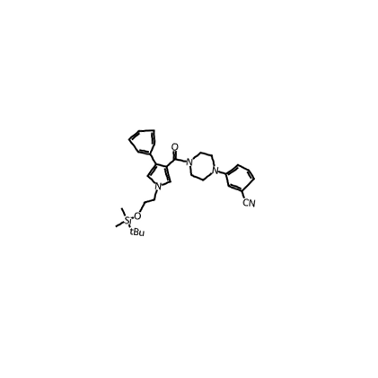 CC(C)(C)[Si](C)(C)OCCn1cc(C(=O)N2CCN(c3cccc(C#N)c3)CC2)c(-c2ccccc2)c1